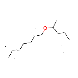 CCCCCCCOC(C)CCC